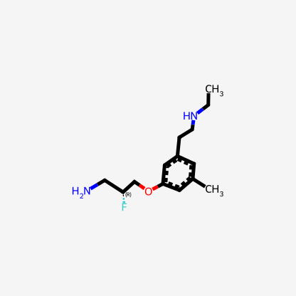 CCNCCc1cc(C)cc(OC[C@H](F)CN)c1